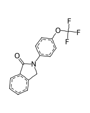 O=C1c2ccccc2CN1c1ccc(OC(F)(F)F)cc1